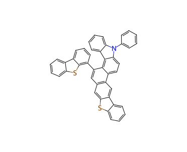 c1ccc(-n2c3ccccc3c3c4c(-c5cccc6c5sc5ccccc56)cc5cc6sc7ccccc7c6cc5c4ccc32)cc1